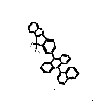 CC1(C)c2cc(-c3c4ccccc4c(-c4cccc5ccccc45)c4ccccc34)ccc2-c2sc3ccccc3c21